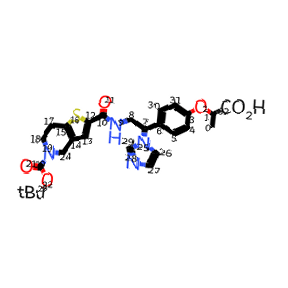 CC(Oc1ccc(C(CNC(=O)c2cc3c(s2)CCN(C(=O)OC(C)(C)C)C3)n2ccnc2)cc1)C(=O)O